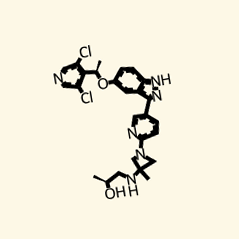 C[C@H](O)CNC1(C)CN(c2ccc(-c3n[nH]c4ccc(O[C@H](C)c5c(Cl)cncc5Cl)cc34)cn2)C1